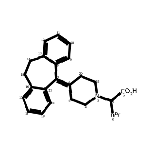 CCCC(C(=O)O)N1CCC(=C2c3ccccc3CCc3ccccc32)CC1